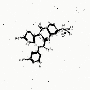 CC(C)c1ccc(-n2c([C@@H](N)Cc3cc(F)cc(F)c3)nc3cc(NS(C)(=O)=O)ccc3c2=O)cn1